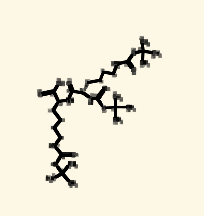 CC(C)(C)OC(=O)NCCCC[C@H](NC(=O)[C@H](CCCCNC(=O)OC(C)(C)C)NC(=O)OC(C)(C)C)C(=O)O